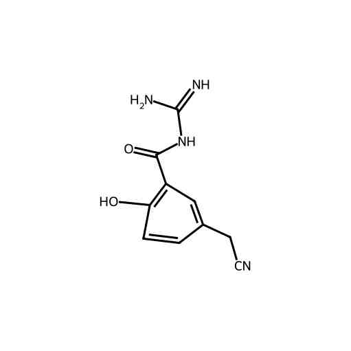 N#CCc1ccc(O)c(C(=O)NC(=N)N)c1